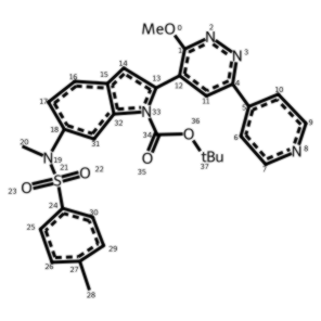 COc1nnc(-c2ccncc2)cc1-c1cc2ccc(N(C)S(=O)(=O)c3ccc(C)cc3)cc2n1C(=O)OC(C)(C)C